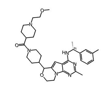 COCCN1CCC(C(=O)N2CCC(C3OCCn4c3cc3c(N[C@H](C)c5cccc(C)c5)nc(C)nc34)CC2)CC1